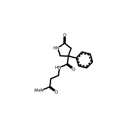 CNC(=O)CCNC(=O)C1(c2ccccc2)CNC(=O)C1